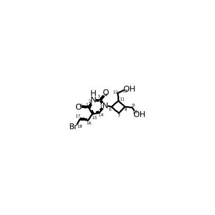 O=c1[nH]c(=O)n(C2CC(CO)C2CO)cc1C=CBr